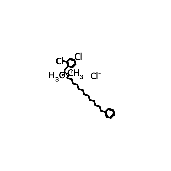 C[N+](C)(CCCCCCCCCCCCCc1ccccc1)Cc1ccc(Cl)cc1Cl.[Cl-]